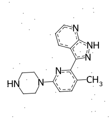 Cc1ccc(N2CCNCC2)nc1-c1n[nH]c2ncccc12